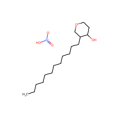 CCCCCCCCCCCCC1COCCC1O.O=[N+]([O-])O